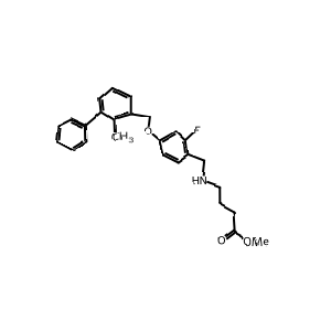 COC(=O)CCCNCc1ccc(OCc2cccc(-c3ccccc3)c2C)cc1F